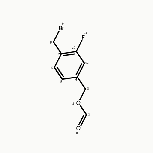 O=COCc1ccc(CBr)c(F)c1